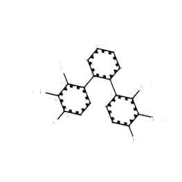 Fc1ccc(-c2[c]cccc2-c2ccc(F)c(F)c2F)c(F)c1F